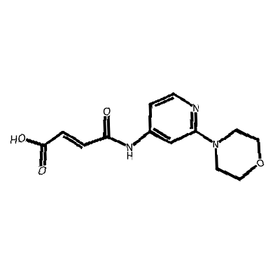 O=C(O)C=CC(=O)Nc1ccnc(N2CCOCC2)c1